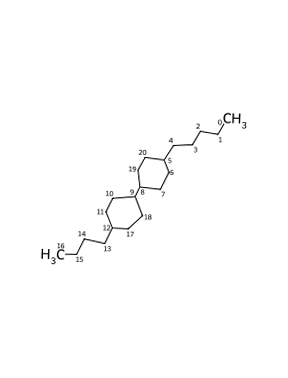 CCCCCC1CCC(C2CCC(CCCC)CC2)CC1